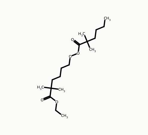 CCCCC(C)(C)C(=O)OOCCCCC(C)(C)C(=O)OCC